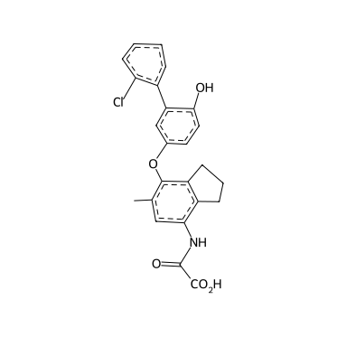 Cc1cc(NC(=O)C(=O)O)c2c(c1Oc1ccc(O)c(-c3ccccc3Cl)c1)CCC2